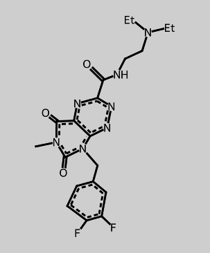 CCN(CC)CCNC(=O)c1nnc2c(n1)c(=O)n(C)c(=O)n2Cc1ccc(F)c(F)c1